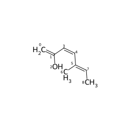 C=C(O)/C=C\C(C)=C\C